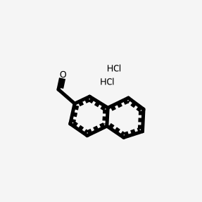 Cl.Cl.O=Cc1ccc2ccccc2c1